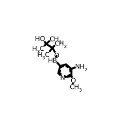 COc1ncc(BOC(C)(C)C(C)(C)O)cc1N